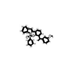 COc1cccc(C(C)c2cccc(-c3cc4ccccc4n3S(=O)(=O)c3ccccc3)c2)c1